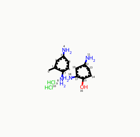 Cc1cc(N)ccc1N.Cl.Cl.Nc1ccc(O)c(N)c1